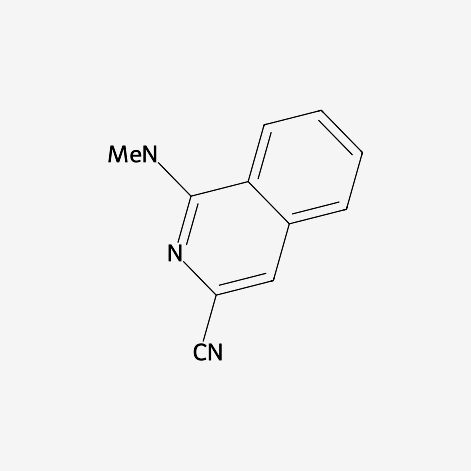 CNc1nc(C#N)cc2ccccc12